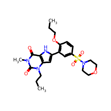 CCCOc1ccc(S(=O)(=O)N2CCOCC2)cc1-c1cc2c([nH]1)c(=O)n(C)c(=O)n2CCC